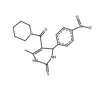 CC1=C(C(=O)N2CCCCC2)C(c2ccc([N+](=O)[O-])cc2)NC(=S)N1